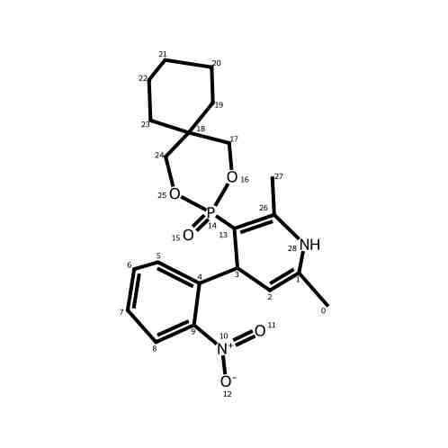 CC1=CC(c2ccccc2[N+](=O)[O-])C(P2(=O)OCC3(CCCCC3)CO2)=C(C)N1